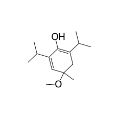 COC1(C)C=C(C(C)C)C(O)=C(C(C)C)C1